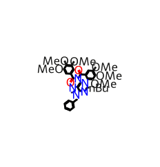 CCCCc1nc(N(C(=O)c2cc(OC)c(OC)c(OC)c2)C(=O)c2cc(OC)c(OC)c(OC)c2)c2ncn(Cc3ccccc3)c2n1